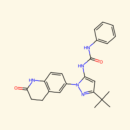 CC(C)(C)c1cc(NC(=O)Nc2ccccc2)n(-c2ccc3c(c2)CCC(=O)N3)n1